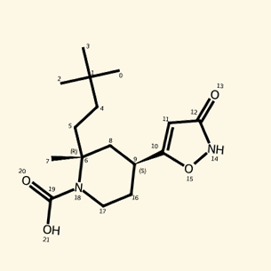 CC(C)(C)CC[C@]1(C)C[C@@H](c2cc(=O)[nH]o2)CCN1C(=O)O